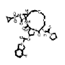 O=C1N[C@]2(C(=O)NS(=O)(=O)C3CC3)C[C@H]2/C=C\CCCCC[C@H](NC(=S)N2CCCC2)C(=O)N2C[C@H](OC(=O)N3Cc4cccc(F)c4C3)C[C@@H]12